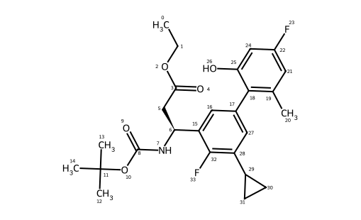 CCOC(=O)C[C@H](NC(=O)OC(C)(C)C)c1cc(-c2c(C)cc(F)cc2O)cc(C2CC2)c1F